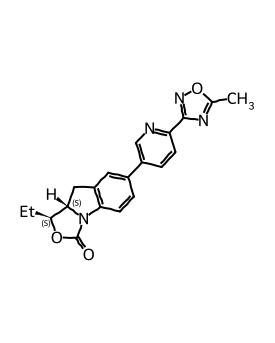 CC[C@@H]1OC(=O)N2c3ccc(-c4ccc(-c5noc(C)n5)nc4)cc3C[C@@H]12